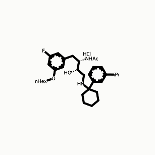 CCCCCCOc1cc(F)cc(C[C@H](NC(C)=O)[C@@H](O)CNC2(c3cccc(C(C)C)c3)CCCCC2)c1.Cl